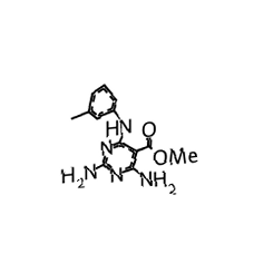 COC(=O)c1c(N)nc(N)nc1Nc1cccc(C)c1